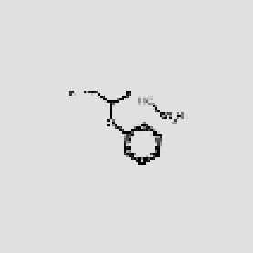 CCCCCCCC(CC)Oc1ccccc1.O=S(=O)(O)O